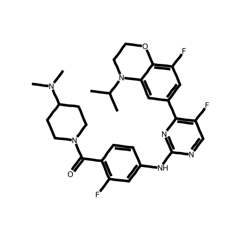 CC(C)N1CCOc2c(F)cc(-c3nc(Nc4ccc(C(=O)N5CCC(N(C)C)CC5)c(F)c4)ncc3F)cc21